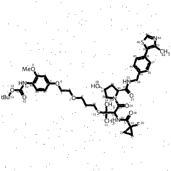 COc1cc(OCCOCCCSC(C)(C)C(NC(=O)C2(F)CC2)C(=O)N2C[C@H](O)C[C@H]2C(=O)NCc2ccc(-c3scnc3C)cc2)ccc1NC(=O)OC(C)(C)C